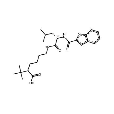 CC(C)C[C@H](NC(=O)c1cc2ccccc2s1)C(=O)NCCCCN(C(=O)O)C(C)(C)C